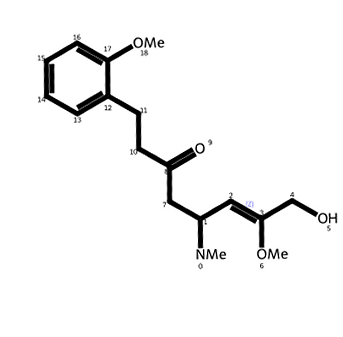 CNC(/C=C(/CO)OC)CC(=O)CCc1ccccc1OC